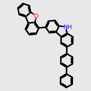 c1ccc(-c2ccc(-c3ccc4[nH]c5ccc(-c6cccc7c6oc6ccccc67)cc5c4c3)cc2)cc1